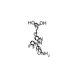 NC(=O)Cn1cc(N(c2cccc(F)c2F)c2ncnc3cc(OCCCN4C[C@H](O)C[C@H]4CO)ccc23)cn1